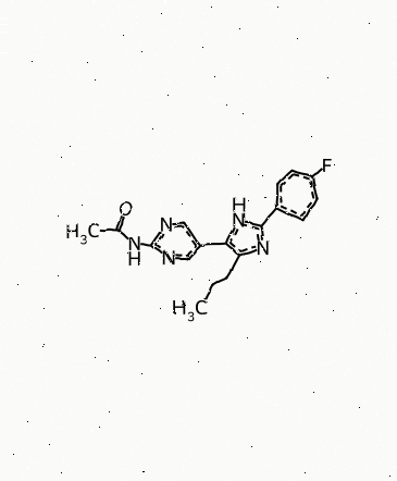 CCCc1nc(-c2ccc(F)cc2)[nH]c1-c1cnc(NC(C)=O)nc1